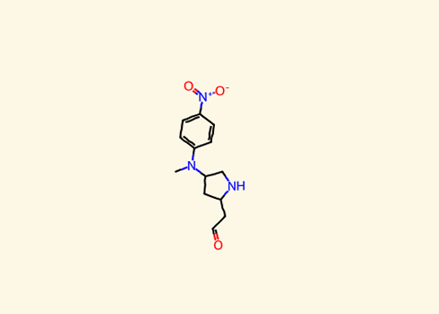 CN(c1ccc([N+](=O)[O-])cc1)C1CNC(CC=O)C1